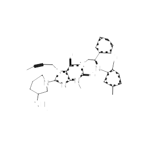 CC#CCn1c(N2CCCC(N)C2)nc2c1c(=O)n(CC1=Nc3cc(C)ccc3Oc3ccccc31)c(=O)n2C